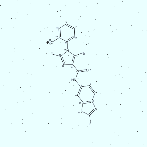 Cc1nc2ccc(NC(=O)c3cc(C)n(-c4ccccc4C(F)(F)F)c3C)cc2s1